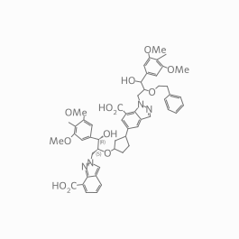 COc1cc(C(O)C(Cn2ncc3cc(C4CCC(O[C@@H](Cn5cc6cccc(C(=O)O)c6n5)[C@H](O)c5cc(OC)c(C)c(OC)c5)C4)cc(C(=O)O)c32)OCCc2ccccc2)cc(OC)c1C